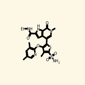 CCNC(=O)c1cc2c(-c3sc(S(N)(=O)=O)c(C)c3Oc3ncc(C)cc3C)cn(C)c(=O)c2[nH]1